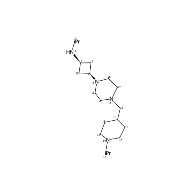 CC(C)N[C@H]1C[C@@H](N2CCN(CC3CCN(C(C)C)CC3)CC2)C1